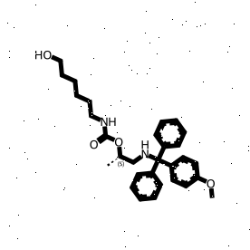 COc1ccc(C(NC[C@H](C)OC(=O)NCCCCCCO)(c2ccccc2)c2ccccc2)cc1